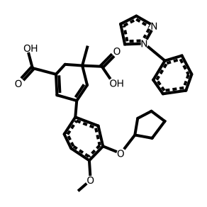 COc1ccc(C2=CC(C)(C(=O)O)CC(C(=O)O)=C2)cc1OC1CCCC1.c1ccc(-n2cccn2)cc1